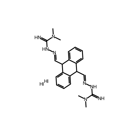 CN(C)C(=N)NN=CC1c2ccccc2C(C=NNC(=N)N(C)C)c2ccccc21.I.I